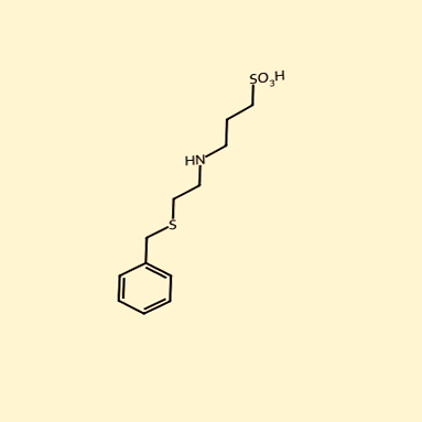 O=S(=O)(O)CCCNCCSCc1ccccc1